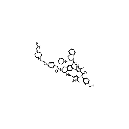 Cc1c(N(C(=O)c2cc(-c3cc4c(cc3C(=O)N3Cc5ccccc5C[C@H]3CN3CCCCC3)CN(C(=O)Cc3ccc(OCCN5CCN(CC(F)F)CC5)cc3)CC4)n(C)c2C)c2ccc(O)cc2)cc(C#N)n1C